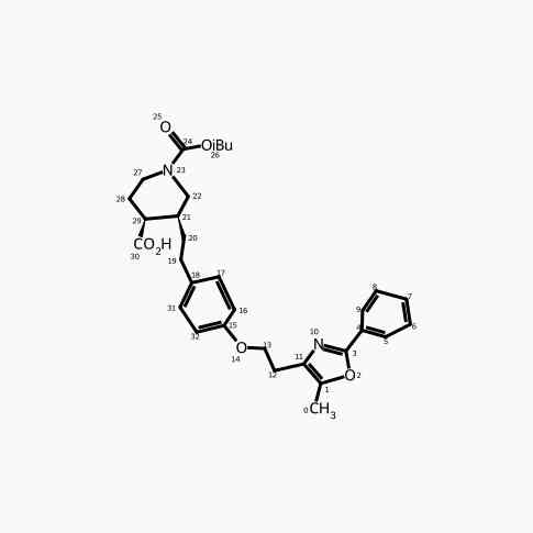 Cc1oc(-c2ccccc2)nc1CCOc1ccc(CC[C@@H]2CN(C(=O)OCC(C)C)CC[C@@H]2C(=O)O)cc1